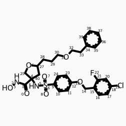 O=C(NO)C1(NS(=O)(=O)c2ccc(OCc3ccc(Cl)cc3F)cc2)COC(CCCOCCc2ccccc2)C1